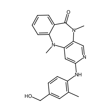 Cc1cc(CO)ccc1Nc1cc2c(cn1)N(C)C(=O)c1ccccc1N2C